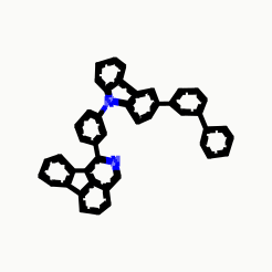 c1ccc(-c2cccc(-c3ccc4c(c3)c3ccccc3n4-c3cccc(-c4ncc5cccc6c5c4-c4ccccc4-6)c3)c2)cc1